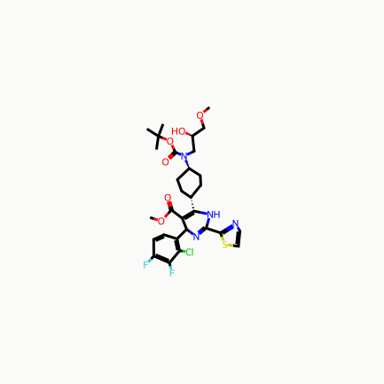 COC[C@H](O)CN(C(=O)OC(C)(C)C)[C@H]1CC[C@H](C2=C(C(=O)OC)C(c3ccc(F)c(F)c3Cl)N=C(c3nccs3)N2)CC1